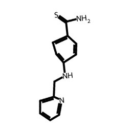 NC(=S)c1ccc(NCc2ccccn2)cc1